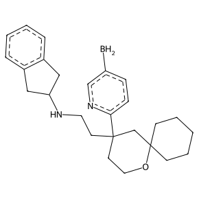 Bc1ccc(C2(CCNC3Cc4ccccc4C3)CCOC3(CCCCC3)C2)nc1